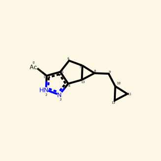 CC(=O)c1[nH]nc2c1CC1C(CC3CC3)C21